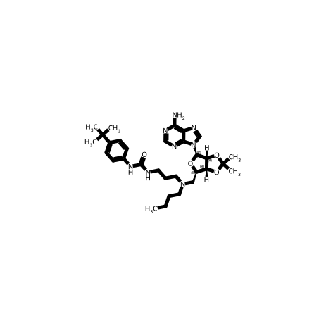 CCCCN(CCCNC(=O)Nc1ccc(C(C)(C)C)cc1)C[C@H]1O[C@@H](n2cnc3c(N)ncnc32)[C@@H]2OC(C)(C)O[C@@H]21